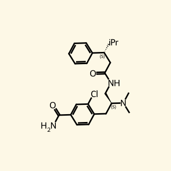 CC(C)[C@H](CC(=O)NC[C@H](Cc1ccc(C(N)=O)cc1Cl)N(C)C)c1ccccc1